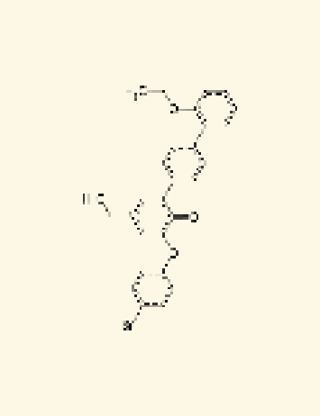 CCOc1ccccc1-c1ccc(-c2cn(CC)cc(Oc3ccc(Br)cc3)c2=O)cc1